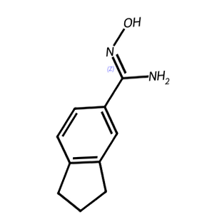 N/C(=N\O)c1ccc2c(c1)CCC2